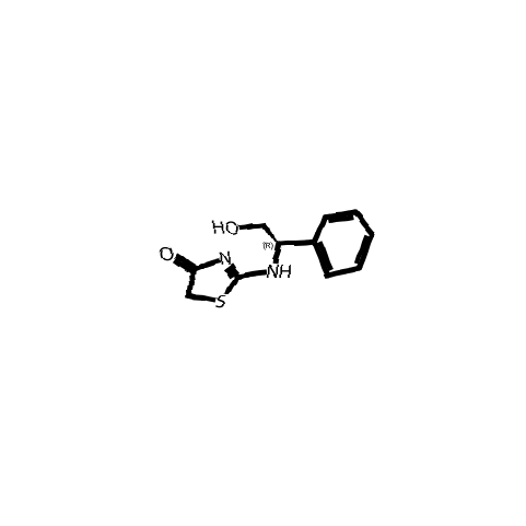 O=C1CSC(N[C@@H](CO)c2ccccc2)=N1